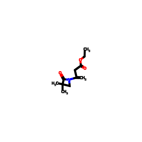 C=C(CC(=O)OCC)N1CC(C)(C)C1=O